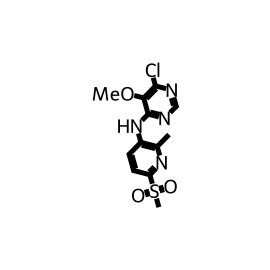 COc1c(Cl)ncnc1Nc1ccc(S(C)(=O)=O)nc1C